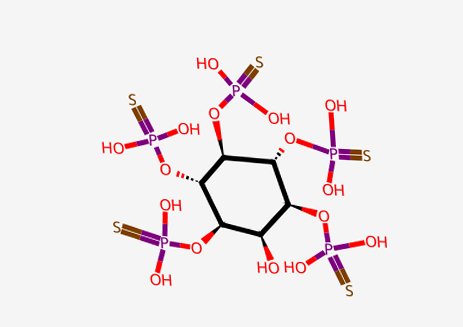 O[C@H]1[C@@H](OP(O)(O)=S)[C@H](OP(O)(O)=S)[C@@H](OP(O)(O)=S)[C@H](OP(O)(O)=S)[C@H]1OP(O)(O)=S